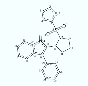 O=S(=O)(c1cccs1)N1CCCC1c1[nH]c2ccccc2c1-c1ccccc1